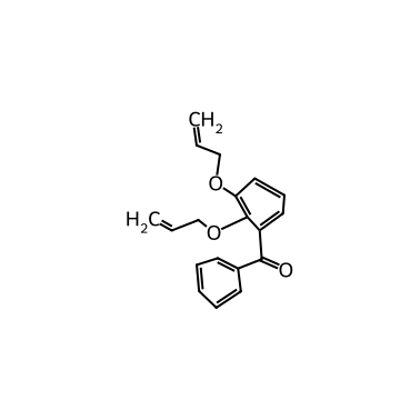 C=CCOc1cccc(C(=O)c2ccccc2)c1OCC=C